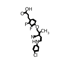 C/C(COc1ccc(CCC(=O)O)c(F)c1F)=C(C#N)\C=C/Nc1ccc(Cl)cc1